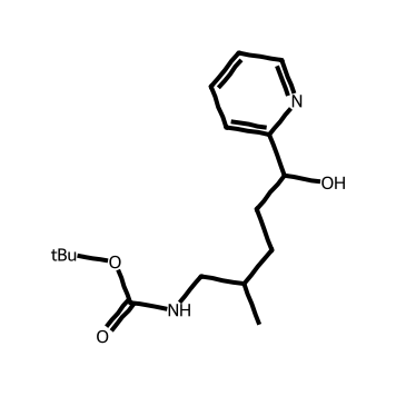 CC(CCC(O)c1ccccn1)CNC(=O)OC(C)(C)C